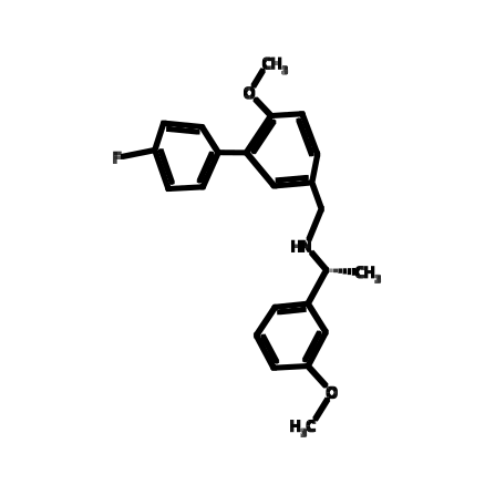 COc1cccc([C@@H](C)NCc2ccc(OC)c(-c3ccc(F)cc3)c2)c1